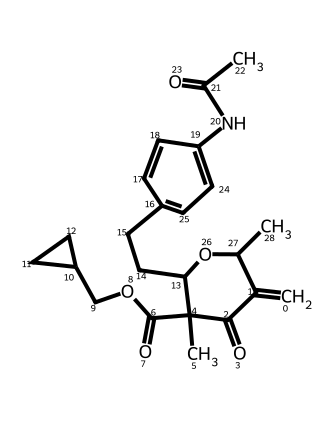 C=C1C(=O)C(C)(C(=O)OCC2CC2)C(CCc2ccc(NC(C)=O)cc2)OC1C